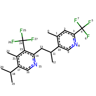 Cc1cc(C(F)(F)F)ncc1C(C)Cc1ncc(C(C)C)c(C)c1C(F)(F)F